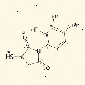 CC(C)c1ccc(N2C(=O)CC(S)C2=O)c(F)c1F